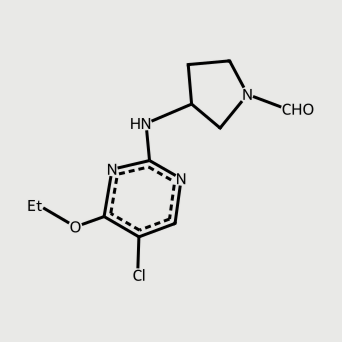 CCOc1nc(NC2CCN(C=O)C2)ncc1Cl